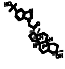 CC(C)(O)c1ccc2c(c1)ncn2CC(=O)[C@H]1CC[C@H]2[C@@H]3CCC4C[C@](C)(O)CCC4(F)[C@H]3CC[C@]12C